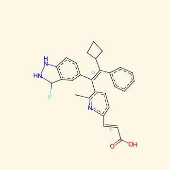 Cc1nc(/C=C/C(=O)O)ccc1/C(=C(\c1ccccc1)C1CCC1)c1ccc2c(c1)C(F)NN2